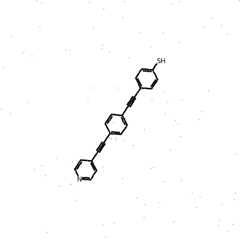 Sc1ccc(C#Cc2ccc(C#Cc3ccncc3)cc2)cc1